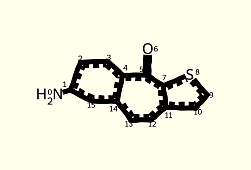 Nc1ccc2c(=O)c3sccc3ccc2c1